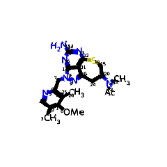 COc1c(C)cnc(Cn2nc3c4c(nc(N)nc42)SCC(N(C)C(C)=O)C3)c1C